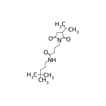 CC(C)C1CC(=O)N(CCCC(=O)NCCCC(C)(C)C)C1=O